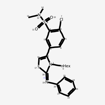 CCCCCCn1c(-c2ccc(Cl)c(S(=O)(=O)N(C)C)c2)cs/c1=N/c1ccccc1